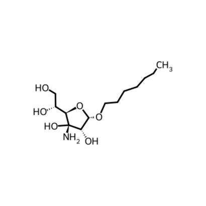 CCCCCCCO[C@H]1O[C@H]([C@H](O)CO)[C@@](N)(O)[C@H]1O